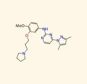 COc1ccc(Nc2nccc(-n3nc(C)cc3C)n2)cc1OCCCN1CCCC1